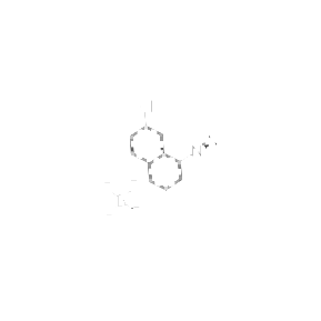 F[B-](F)(F)F.N#[N+]c1cccc2ccc(Cl)cc12